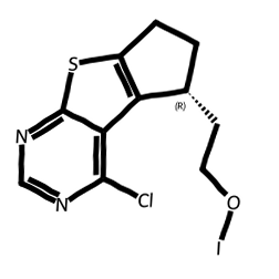 Clc1ncnc2sc3c(c12)[C@@H](CCOI)CC3